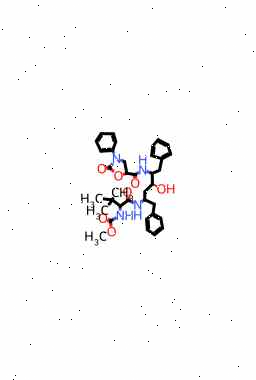 COC(=O)NC(C(=O)NC(Cc1ccccc1)C[C@H](O)C(Cc1ccccc1)NC(=O)C1CN(c2ccccc2)C(=O)O1)C(C)(C)C